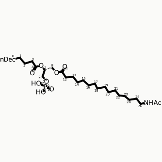 CCCCCCCCCCCCCC(=O)O[C@H](COC(=O)CCCCCCCCCCCCCCCNC(C)=O)COP(=O)(O)O